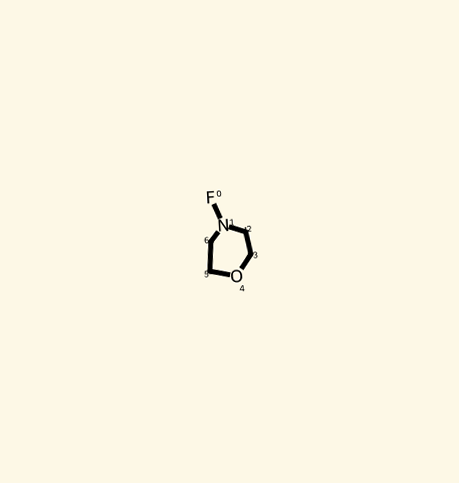 FN1[CH]COCC1